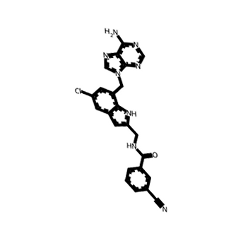 N#Cc1cccc(C(=O)NCc2cc3cc(Cl)cc(Cn4cnc5c(N)ncnc54)c3[nH]2)c1